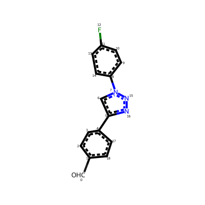 O=Cc1ccc(-c2cn(-c3ccc(F)cc3)nn2)cc1